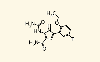 CCOc1ccc(F)cc1-c1cc(C(N)=O)c(NC(N)=O)[nH]1